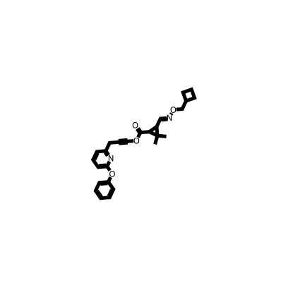 CC1(C)C(/C=N/OCC2CCC2)C1C(=O)OC#CCc1cccc(Oc2ccccc2)n1